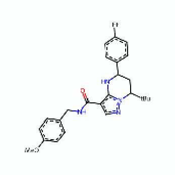 CCc1ccc(C2CC(C(C)(C)C)n3ncc(C(=O)NCc4ccc(OC)cc4)c3N2)cc1